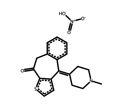 CN1CCC(=C2c3ccccc3CC(=O)c3sccc32)CC1.O=[N+]([O-])O